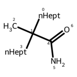 CCCCCCCC(C)(CCCCCCC)C(N)=O